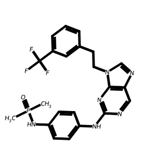 CP(C)(=O)Nc1ccc(Nc2ncc3ncn(CCc4cccc(C(F)(F)F)c4)c3n2)cc1